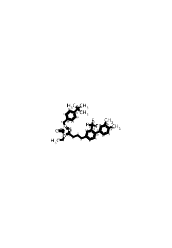 CCn1c(CCCc2ccc(-c3ccc(C)c(C)c3)c(C(F)(F)F)c2)nn(Cc2ccc(C(C)(C)C)cc2)c1=O